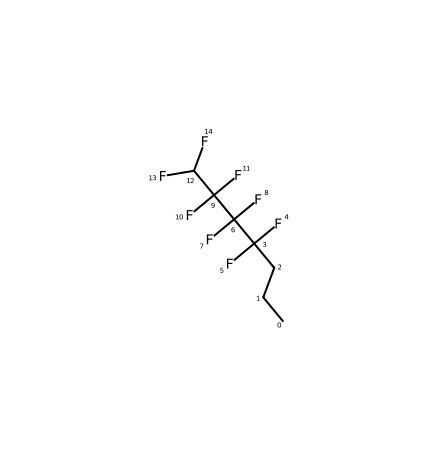 CCCC(F)(F)C(F)(F)C(F)(F)C(F)F